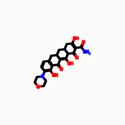 NC(=O)C1=C(O)CC2CC3Cc4ccc(N5CCOCC5)c(O)c4C(=O)C3=C(O)C2C1=O